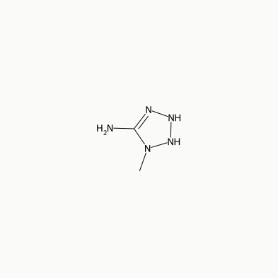 CN1NNN=C1N